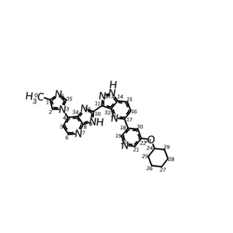 Cc1cn(-c2ccnc3[nH]c(-c4n[nH]c5ccc(-c6cncc(OC7CCCCC7)c6)nc45)nc23)cn1